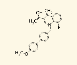 C=C(O)C1=CN(Cc2ccc(-c3ccc(OC)cc3)cc2)c2c(F)cccc2C1=C